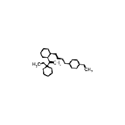 C=CC1CCC(CC/C=C/C2CCCCC2C(=C)C2(CC)CCCCC2)CC1